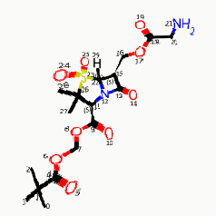 CC(C)(C)C(=O)OCOC(=O)[C@@H]1N2C(=O)[C@H](COC(=O)CN)[C@H]2S(=O)(=O)C1(C)C